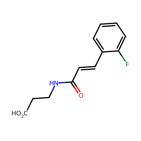 O=C(O)CCNC(=O)C=Cc1ccccc1F